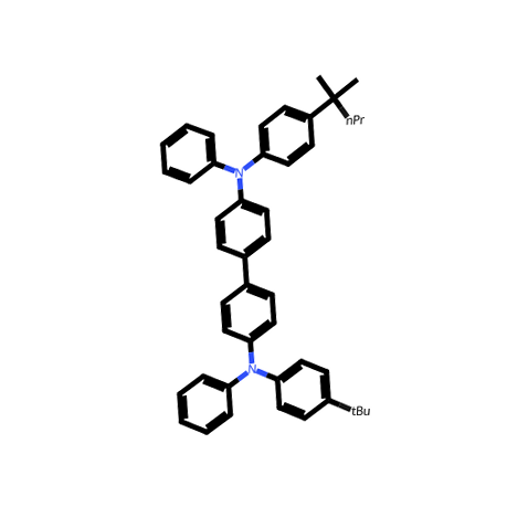 CCCC(C)(C)c1ccc(N(c2ccccc2)c2ccc(-c3ccc(N(c4ccccc4)c4ccc(C(C)(C)C)cc4)cc3)cc2)cc1